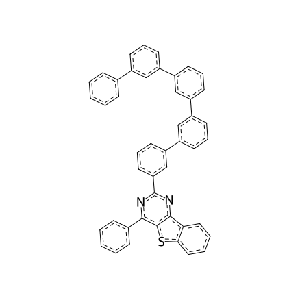 c1ccc(-c2cccc(-c3cccc(-c4cccc(-c5cccc(-c6nc(-c7ccccc7)c7sc8ccccc8c7n6)c5)c4)c3)c2)cc1